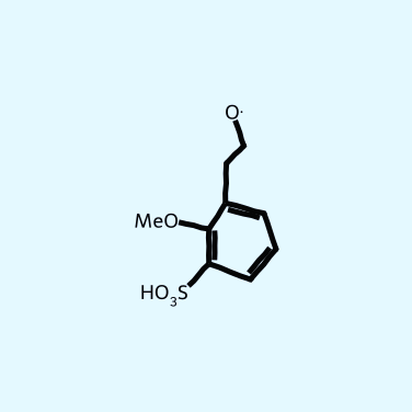 COc1c(CC[O])cccc1S(=O)(=O)O